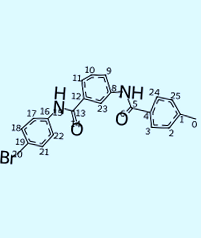 Cc1ccc(C(=O)Nc2cccc(C(=O)Nc3ccc(Br)cc3)c2)cc1